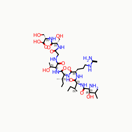 C=C(N)NCCC[C@@H](NC(=O)[C@@H](NC(=O)[C@@H](N)[C@H](O)C(C)C)[C@@H](C)CC)C(=O)N[C@H](C(=O)N[C@H](C(=O)NCC(=O)N[C@@H](CO)C(=O)N[C@@H](CO)C(=O)O)[C@H](C)O)[C@@H](C)CC